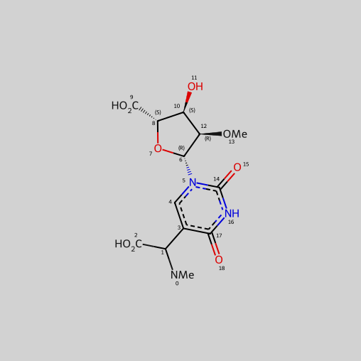 CNC(C(=O)O)c1cn([C@@H]2O[C@H](C(=O)O)[C@@H](O)[C@H]2OC)c(=O)[nH]c1=O